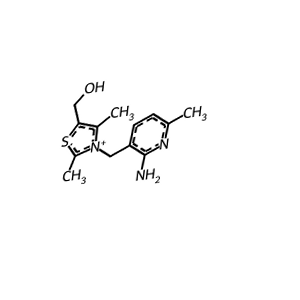 Cc1ccc(C[n+]2c(C)sc(CO)c2C)c(N)n1